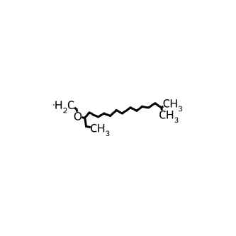 [CH2]COC(CC)CCCCCCCCCCCC(C)C